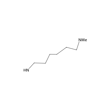 CNCCCCCC[NH]